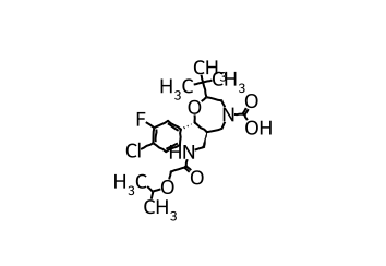 CC(C)OCC(=O)NC[C@@H]1CN(C(=O)O)CC(C(C)(C)C)O[C@H]1c1ccc(Cl)c(F)c1